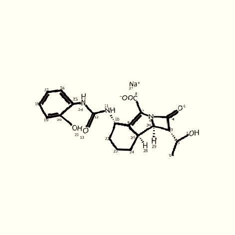 CC(O)[C@H]1C(=O)N2C(C(=O)[O-])=C3[C@@H](NC(=O)Nc4ccccc4O)CCC[C@@H]3[C@H]12.[Na+]